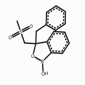 CS(=O)(=O)CC1(Cc2ccccc2)OB(O)c2ccccc21